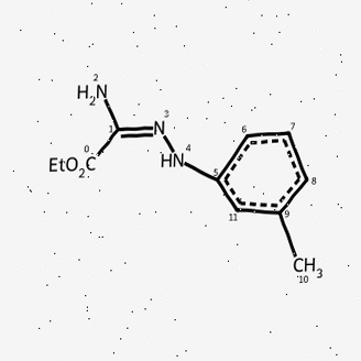 CCOC(=O)/C(N)=N\Nc1cccc(C)c1